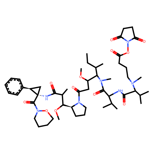 CCC(C)C(C(CC(=O)N1CCC[C@H]1C(OC)C(C)C(=O)N[C@@]1(C(=O)N2CCCCO2)C[C@@H]1c1ccccc1)OC)N(C)C(=O)C(NC(=O)C(C(C)C)N(C)CCCC(=O)ON1C(=O)CCC1=O)C(C)C